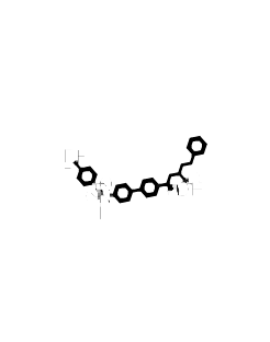 O=C(CC(CCc1ccccc1)C(=O)O)c1ccc(-c2ccc(NS(=O)(=O)c3ccc(C(F)(F)F)cc3)cc2)cc1